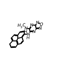 CNc1nc2nonc2nc1NC1=C2C=CC3=C4C(=CC=C(C=C1)C24)CC=C3